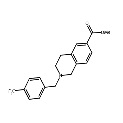 COC(=O)c1ccc2c(c1)CCN(Cc1ccc(C(F)(F)F)cc1)C2